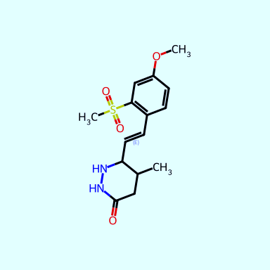 COc1ccc(/C=C/C2NNC(=O)CC2C)c(S(C)(=O)=O)c1